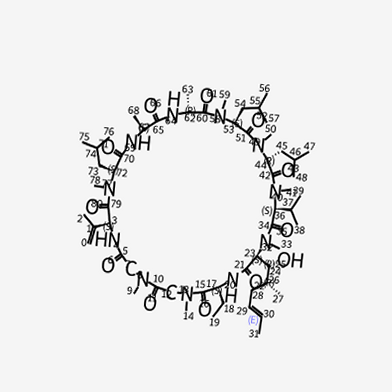 C=C(C)[C@@H]1NC(=O)CN(C)C(=O)CN(C)C(=O)[C@H](CC)NC(=O)[C@H]([C@H](O)[C@H](C)C/C=C/C)N(C)C(=O)[C@H](C(C)C)N(C)C(=O)[C@@H](CC(C)C)N(C)C(=O)[C@H](CC(C)C)N(C)C(=O)[C@@H](C)NC(=O)[C@H](C)NC(=O)[C@H](CC(C)C)N(C)C1=O